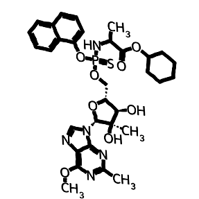 COc1nc(C)nc2c1ncn2[C@@H]1O[C@H](COP(=S)(NC(C)C(=O)OC2CCCCC2)Oc2cccc3ccccc23)[C@@H](O)[C@@]1(C)O